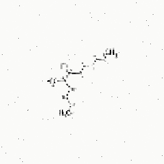 CCCCCCC(F)C(C)CCCC